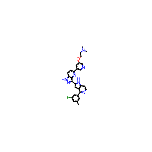 Cc1cc(F)cc(-c2nccc3[nH]c(-c4n[nH]c5ccc(-c6cncc(OCCN(C)C)c6)nc45)cc23)c1